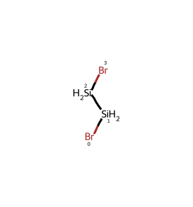 Br[SiH2][SiH2]Br